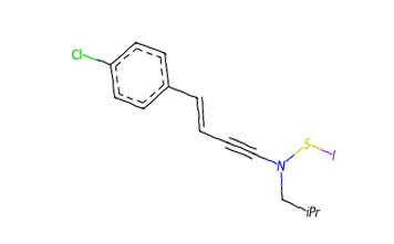 CC(C)CN(C#C/C=C/c1ccc(Cl)cc1)SI